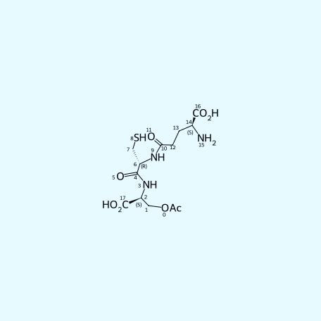 CC(=O)OC[C@H](NC(=O)[C@H](CS)NC(=O)CC[C@H](N)C(=O)O)C(=O)O